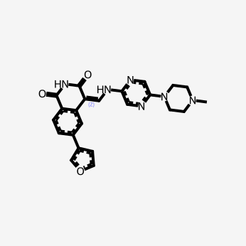 CN1CCN(c2cnc(N/C=C3\C(=O)NC(=O)c4ccc(-c5ccoc5)cc43)cn2)CC1